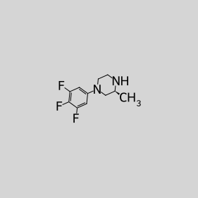 C[C@H]1CN(c2cc(F)c(F)c(F)c2)CCN1